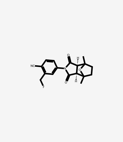 CC12CCC(C)(O1)[C@H]1C(=O)N(c3ccc(C#N)c(CF)c3)C(=O)[C@H]12